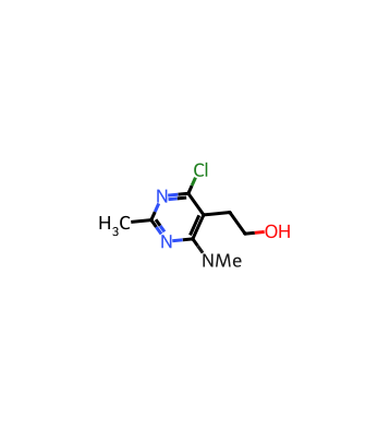 CNc1nc(C)nc(Cl)c1CCO